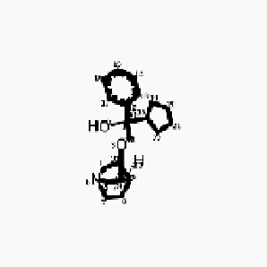 O[C@@](CO[C@@H]1CN2CCC1CC2)(c1ccccc1)C1CCCC1